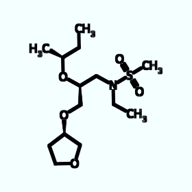 CC[C@H](C)O[C@H](CO[C@@H]1CCOC1)CN(CC)S(C)(=O)=O